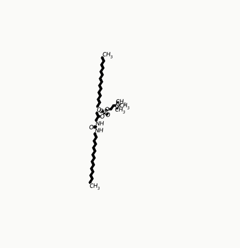 CCCCCCCCCCCCCCCCNC(=O)NCC(COCCCCCCCCCCCCCCCC)OP(=O)([O-])OCC[N+](C)(C)C